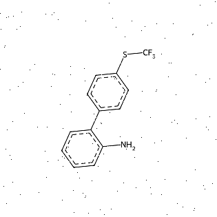 Nc1ccccc1-c1ccc(SC(F)(F)F)cc1